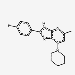 Cc1cc(N2CCCCC2)c2nc(-c3ccc(F)cc3)[nH]c2n1